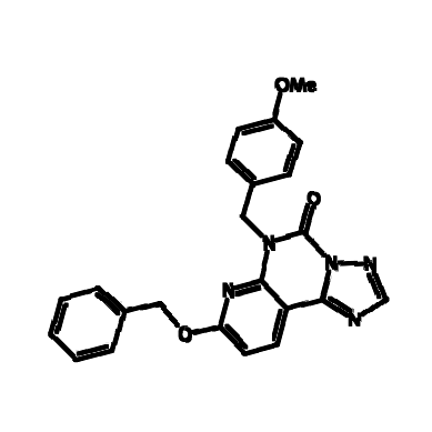 COc1ccc(Cn2c(=O)n3ncnc3c3ccc(OCc4ccccc4)nc32)cc1